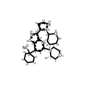 C[C@H]1COCCN1c1cc(C2(C#N)CCCCC2)c2snc(-c3ccnn3C3CCCCO3)c2n1